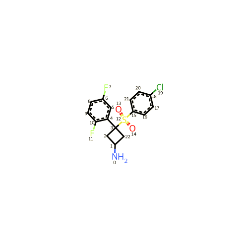 NC1CC(c2cc(F)ccc2F)(S(=O)(=O)c2ccc(Cl)cc2)C1